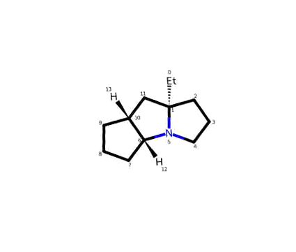 CC[C@]12CCCN1[C@@H]1CCC[C@@H]1C2